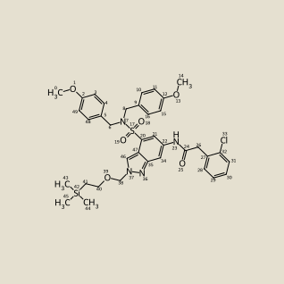 COc1ccc(CN(Cc2ccc(OC)cc2)S(=O)(=O)c2cc(NC(=O)Cc3ccccc3Cl)cc3nn(COCC[Si](C)(C)C)cc23)cc1